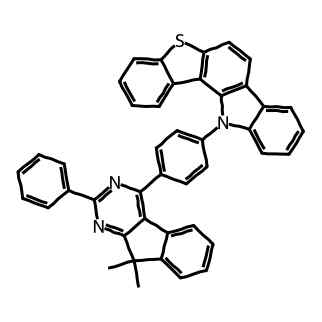 CC1(C)c2ccccc2-c2c(-c3ccc(-n4c5ccccc5c5ccc6sc7ccccc7c6c54)cc3)nc(-c3ccccc3)nc21